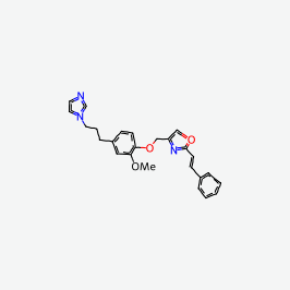 COc1cc(CCCn2ccnc2)ccc1OCc1coc(C=Cc2ccccc2)n1